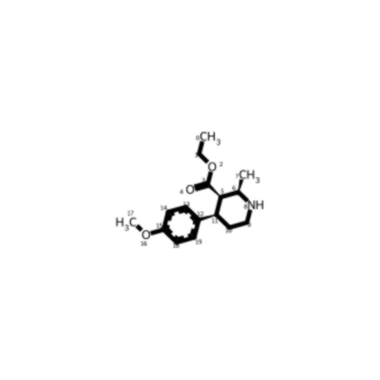 CCOC(=O)[C@H]1[C@@H](C)NCC[C@H]1c1ccc(OC)cc1